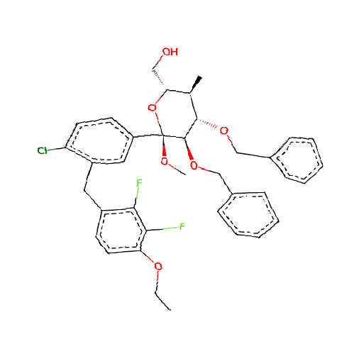 CCOc1ccc(Cc2cc([C@]3(OC)O[C@H](CO)[C@@H](C)[C@H](OCc4ccccc4)[C@H]3OCc3ccccc3)ccc2Cl)c(F)c1F